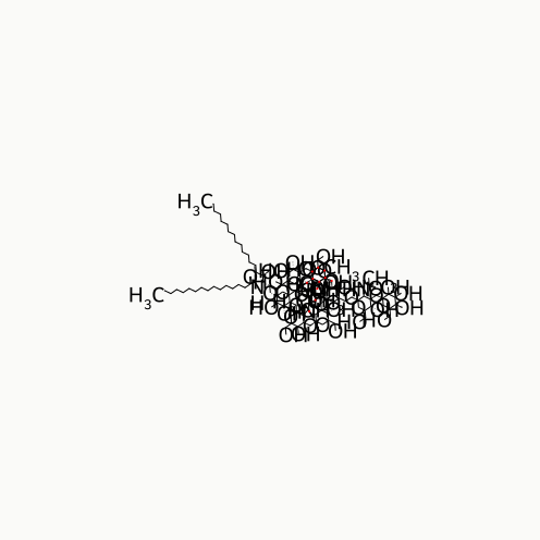 CCCCCCCCCCCCC/C=C/[C@@H](O)[C@H](CO[C@@H]1OC(CO)[C@@H](O[C@@H]2OC(CO)[C@H](O)[C@H](O[C@@H]3OC(CO)[C@@H](O)[C@H](O[C@@H]4OC(CO[C@@H]5OC(CO)[C@@H](O)[C@H](O[C@@H]6OC(CO)[C@H](O)[C@H](O)C6O)C5NC(C)=O)[C@H](O)[C@H](O[C@@H]5OC(CO)[C@@H](O)[C@H](O[C@@H]6OC(CO)[C@H](O)[C@H](O)C6O[C@H]6OC(C)[C@@H](O)C(O)[C@@H]6O)C5NC(C)=O)C4O)C3NC(C)=O)C2O)[C@H](O)C1O)NC(=O)CCCCCCCCCCCCCCC